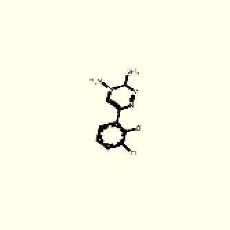 NC1N=NC(c2cccc(Cl)c2Cl)=CN1N